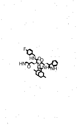 CC1CC2CC(C)CC(C(=O)N[C@@H](Cc3c[nH]c4ccccc34)C(=O)N[C@@H](CCC(=O)C=N)C(=O)NCc3ccc(F)cc3)(C1)C2